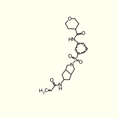 C=CC(=O)NC1CC2CN(S(=O)(=O)c3cccc(NC(=O)C4CCOCC4)c3)CC2C1